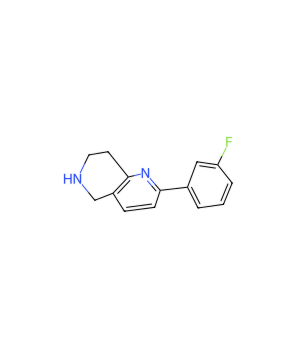 Fc1cccc(-c2ccc3c(n2)CCNC3)c1